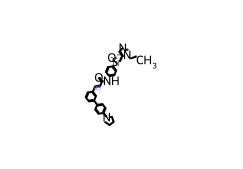 CCCn1cncc1C[S@@+]([O-])c1ccc(NC(=O)/C=C/c2cccc(-c3ccc(N4CCCC4)cc3)c2)cc1